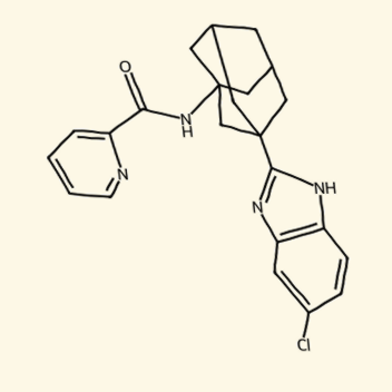 O=C(NC12CC3CC(C1)CC(c1nc4cc(Cl)ccc4[nH]1)(C3)C2)c1ccccn1